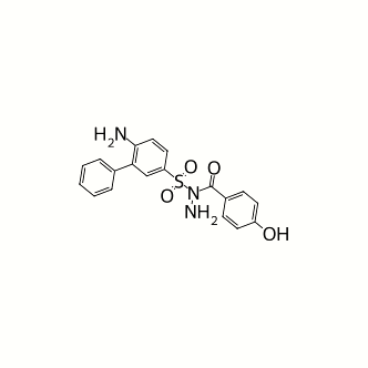 Nc1ccc(S(=O)(=O)N(N)C(=O)c2ccc(O)cc2)cc1-c1ccccc1